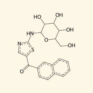 O=C(c1ccc2ccccc2c1)c1cnc(NC2OC(CO)C(O)C(O)C2O)s1